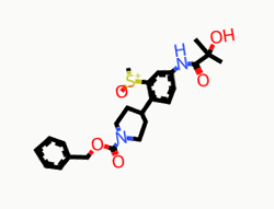 C[S+]([O-])c1cc(NC(=O)C(C)(C)O)ccc1C1CCN(C(=O)OCc2ccccc2)CC1